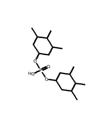 CC1CC(OP(=O)(O)OC2CC(C)C(C)C(C)C2)CC(C)C1C